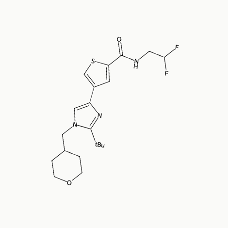 CC(C)(C)c1nc(-c2csc(C(=O)NCC(F)F)c2)cn1CC1CCOCC1